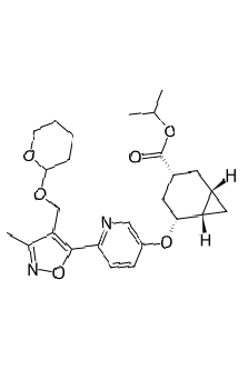 Cc1noc(-c2ccc(O[C@@H]3C[C@H](C(=O)OC(C)C)C[C@@H]4C[C@@H]43)cn2)c1COC1CCCCO1